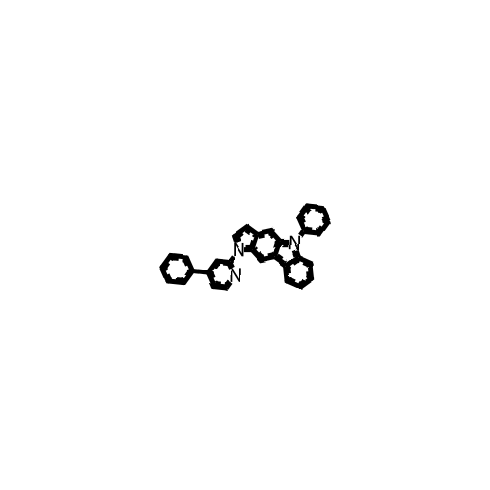 c1ccc(-c2ccnc(-n3ccc4cc5c(cc43)c3ccccc3n5-c3ccccc3)c2)cc1